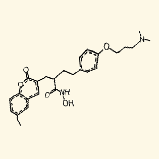 Cc1ccc2oc(=O)c(CC(CCc3ccc(OCCCN(C)C)cc3)C(=O)NO)cc2c1